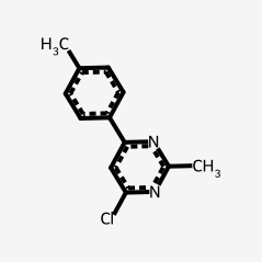 Cc1ccc(-c2cc(Cl)nc(C)n2)cc1